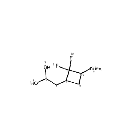 CCCCCCC1CC(CC(O)O)C1(F)F